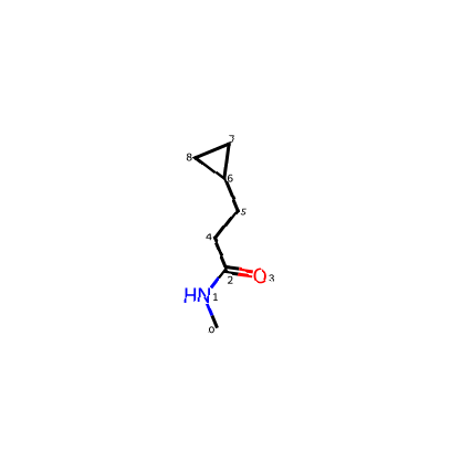 CNC(=O)CCC1CC1